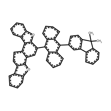 CC1(C)c2ccccc2-c2cc(-c3c4ccccc4c(-c4cc5c(ccc6c7ccccc7oc65)c5c4oc4ccccc45)c4ccccc34)ccc21